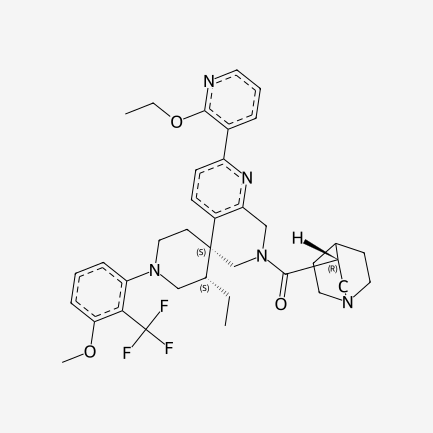 CCOc1ncccc1-c1ccc2c(n1)CN(C(=O)[C@H]1CN3CCC1CC3)C[C@]21CCN(c2cccc(OC)c2C(F)(F)F)C[C@H]1CC